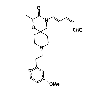 COc1ccnc(CCN2CCC3(CC2)CN(/C=C/C=C\C=O)C(=O)C(C)O3)c1